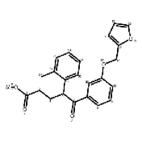 COC(=O)CCC(C(=O)c1cccc(OCc2ccco2)c1)c1ccccc1C